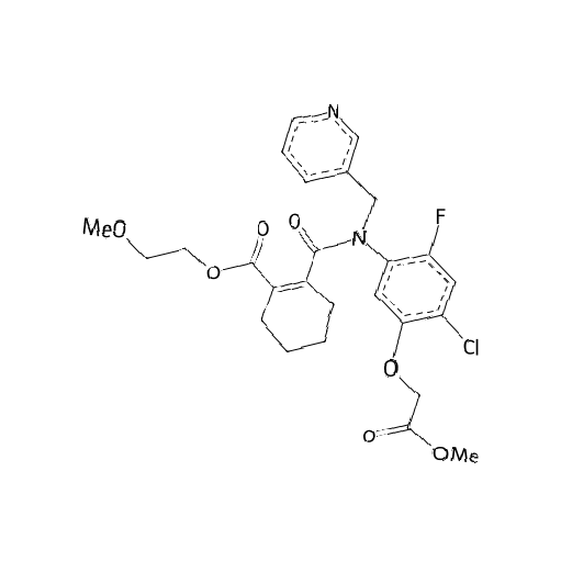 COCCOC(=O)C1=C(C(=O)N(Cc2cccnc2)c2cc(OCC(=O)OC)c(Cl)cc2F)CCCC1